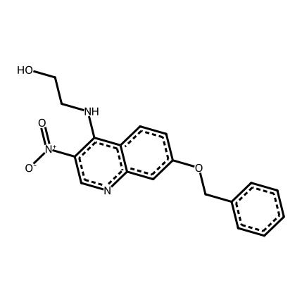 O=[N+]([O-])c1cnc2cc(OCc3ccccc3)ccc2c1NCCO